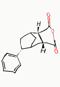 O=C1OC(=O)[C@H]2C3CC([C@@H]12)[C@H](c1ccccc1)C3